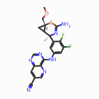 COC[C@]12C[C@H]1[C@](C)(c1cc(Nc3ncnc4cc(C#N)cnc34)cc(F)c1F)N=C(N)S2